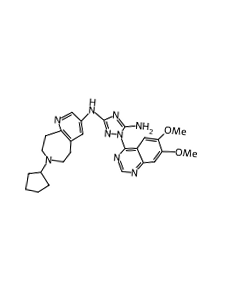 COc1cc2ncnc(-n3nc(Nc4cnc5c(c4)CCN(C4CCCC4)CC5)nc3N)c2cc1OC